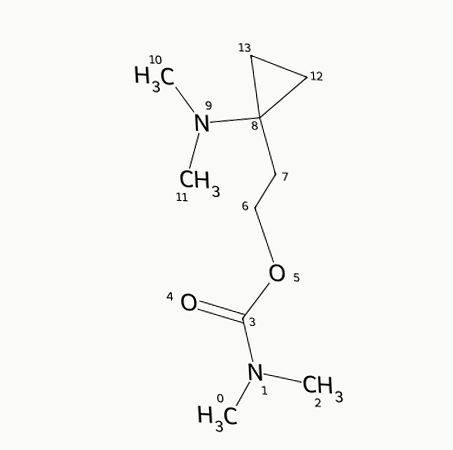 CN(C)C(=O)OCCC1(N(C)C)CC1